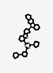 c1ccc(-c2cccc(-c3nc(-c4ccccc4)nc(-c4cccc5c4sc4cc(C6c7ccccc7-c7cc8ccccc8cc76)ccc45)n3)c2)cc1